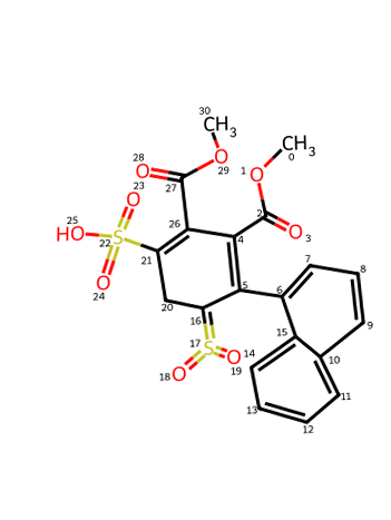 COC(=O)C1=C(c2cccc3ccccc23)C(=S(=O)=O)CC(S(=O)(=O)O)=C1C(=O)OC